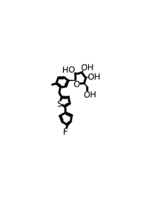 Cc1ccc([C@@H]2O[C@H](CO)[C@@H](O)[C@H](O)C2O)cc1Cc1ccc(-c2ccc(F)cc2)s1